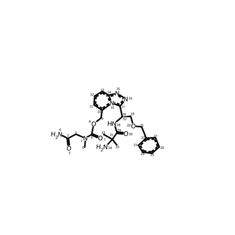 CN(CC(N)=O)C(=O)OCc1cccc2nnc([C@@H](COCc3ccccc3)NC(=O)C(C)(C)N)n12